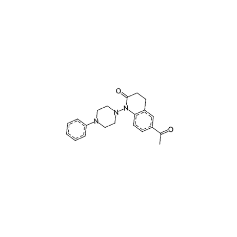 CC(=O)c1ccc2c(c1)CCC(=O)N2N1CCN(c2ccccc2)CC1